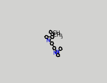 CC1(C)c2ccccc2-c2c1ccc1c(-c3ccc(-c4ccc(-c5nc6ccccc6n5-c5ccccc5)cc4)cc3)nc3ccccc3c21